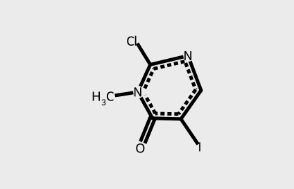 Cn1c(Cl)ncc(I)c1=O